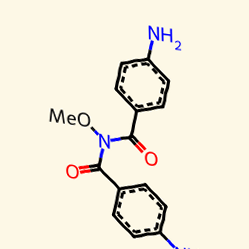 CON(C(=O)c1ccc(N)cc1)C(=O)c1ccc(N)cc1